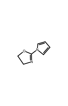 c1ccn(C2=NCCO2)c1